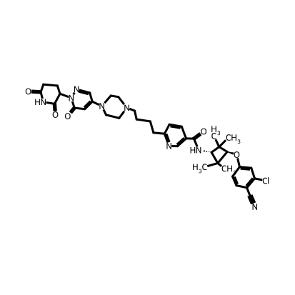 CC1(C)[C@H](NC(=O)c2ccc(CCCCN3CCN(c4cnn(C5CCC(=O)NC5=O)c(=O)c4)CC3)nc2)C(C)(C)[C@H]1Oc1ccc(C#N)c(Cl)c1